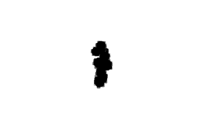 c1ccc2c(c1)ccc1cc(-c3c4ccccc4c(-c4ccc5oc6c7ccccc7c7ccccc7c6c5c4)c4ccccc34)ccc12